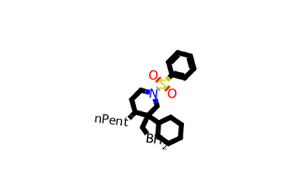 BCC1(C2CCCCC2)CN(S(=O)(=O)c2ccccc2)CCC1CCCCC